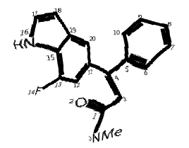 CNC(=O)/C=C(/c1ccccc1)c1cc(F)c2[nH]ccc2c1